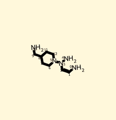 N/C=C\N(N)N1CCC(CN)CC1